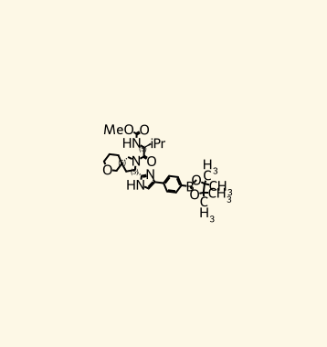 COC(=O)N[C@H](C(=O)N1C[C@]2(CCCOC2)C[C@H]1c1nc(-c2ccc(B3OC(C)(C)C(C)(C)O3)cc2)c[nH]1)C(C)C